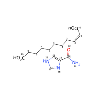 CCCCCCCC/C=C\CCCCCCCC(=O)O.NC(=O)c1c[nH]cn1